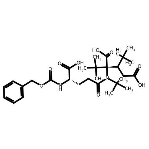 CC(C)(C)C(CC(=O)O)[C@@](C(=O)O)(N(C(=O)CC[C@H](NC(=O)OCc1ccccc1)C(=O)O)C(C)(C)C)C(C)(C)C